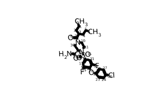 CCCC(CCC)C(=O)N1CCN(S(=O)(=O)c2cc(F)c(Oc3ccc(Cl)cc3)c(F)c2)[C@@H](C(N)=O)C1